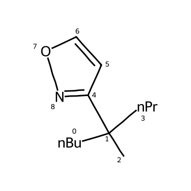 CCCCC(C)(CCC)c1ccon1